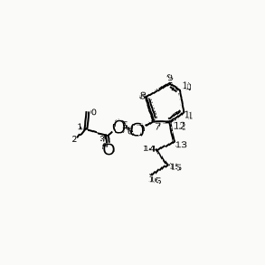 C=C(C)C(=O)OOc1ccccc1CCCC